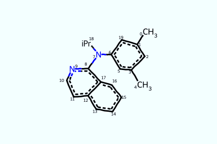 Cc1cc(C)cc(N(c2nccc3ccccc23)C(C)C)c1